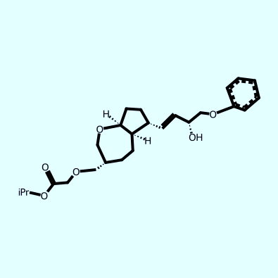 CC(C)OC(=O)COC[C@H]1CC[C@H]2[C@H](CC[C@@H]2/C=C/[C@@H](O)COc2ccccc2)OC1